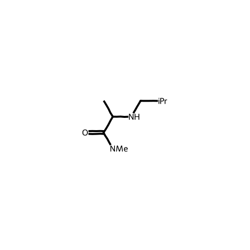 CNC(=O)C(C)NCC(C)C